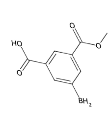 Bc1cc(C(=O)O)cc(C(=O)OC)c1